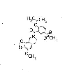 COc1cc2c(c3c1OCO3)CN(C(=O)c1cc(S(C)(=O)=O)ccc1OC(C)C)CC2